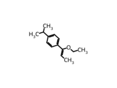 CC=C(OCC)c1ccc(C(C)C)cc1